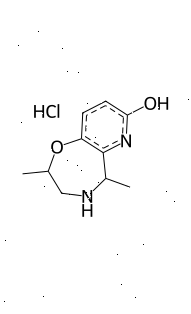 CC1CNC(C)c2nc(O)ccc2O1.Cl